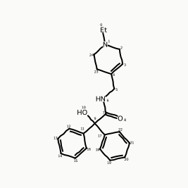 CCN1CC=C(CNC(=O)C(O)(c2ccccc2)c2ccccc2)CC1